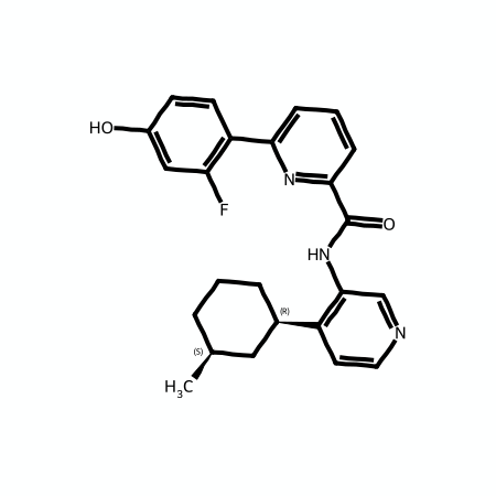 C[C@H]1CCC[C@@H](c2ccncc2NC(=O)c2cccc(-c3ccc(O)cc3F)n2)C1